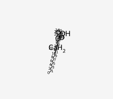 CCCCCCCCCCCCCCCCCCOC(=O)c1ccccc1O.[CaH2]